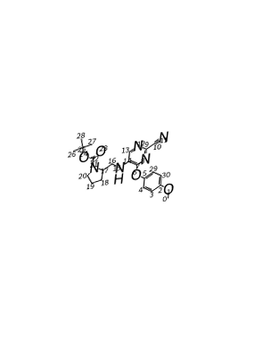 COc1ccc(Oc2nc(C#N)ncc2NCC2CCCN2C(=O)OC(C)(C)C)cc1